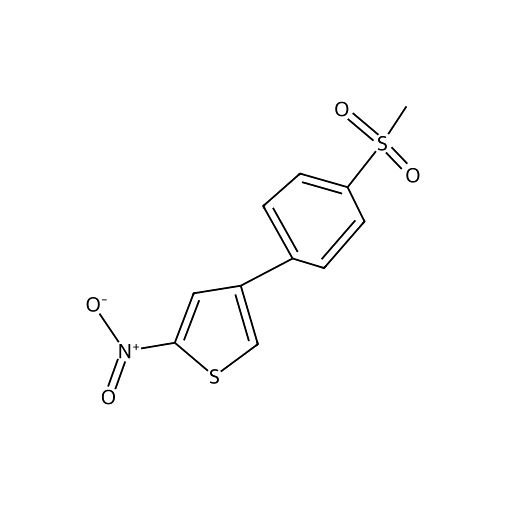 CS(=O)(=O)c1ccc(-c2csc([N+](=O)[O-])c2)cc1